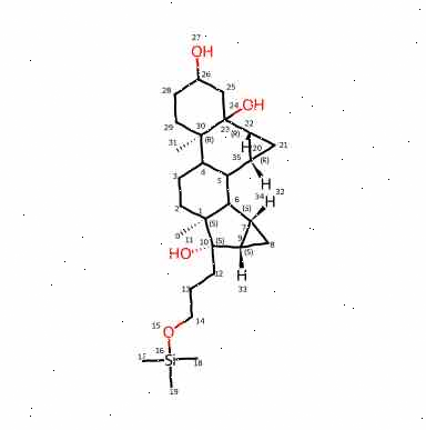 C[C@]12CCC3C(C1[C@@H]1C[C@@H]1[C@@]2(O)CCCO[Si](C)(C)C)[C@H]1C[C@H]1C1(O)CC(O)CC[C@]31C